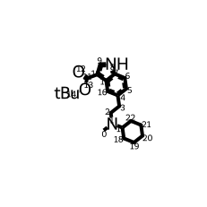 CN(CCc1ccc2[nH]cc(C(=O)OC(C)(C)C)c2c1)C1CCCCC1